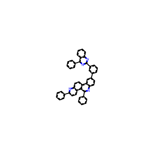 c1ccc(-c2ccc3c(ccc4c5cc(-c6cccc(-c7nc(-c8ccccc8)c8ccccc8n7)c6)ccc5nc(-c5ccccc5)c34)n2)cc1